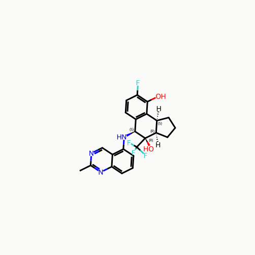 Cc1ncc2c(N[C@H]3c4ccc(F)c(O)c4[C@H]4CCC[C@H]4[C@]3(O)C(F)(F)F)cccc2n1